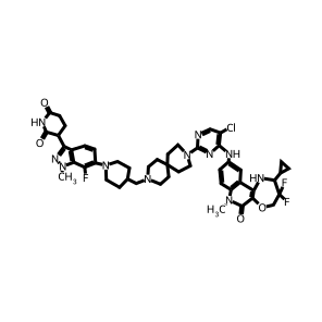 Cn1nc(C2CCC(=O)NC2=O)c2ccc(N3CCC(CN4CCC5(CC4)CCN(c4ncc(Cl)c(Nc6ccc7c(c6)c6c(c(=O)n7C)OCC(F)(F)C(C7CC7)N6)n4)CC5)CC3)c(F)c21